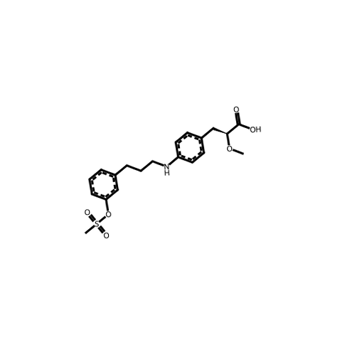 CO[C@@H](Cc1ccc(NCCCc2cccc(OS(C)(=O)=O)c2)cc1)C(=O)O